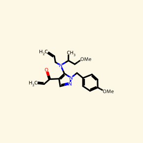 C=CCN(c1c(C(=O)C=C)cnn1Cc1ccc(OC)cc1)C(C)COC